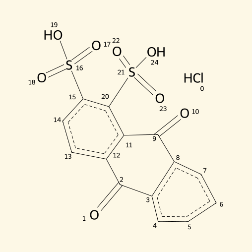 Cl.O=C1c2ccccc2C(=O)c2c1ccc(S(=O)(=O)O)c2S(=O)(=O)O